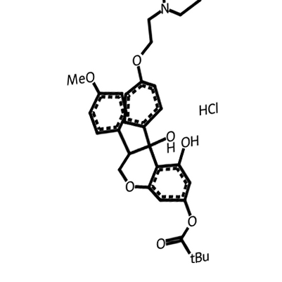 COc1ccc(C2COc3cc(OC(=O)C(C)(C)C)cc(O)c3C2(O)c2ccc(OCCN3CCCCC3)cc2)cc1.Cl